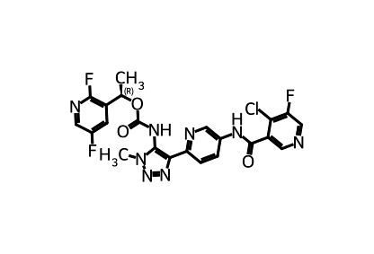 C[C@@H](OC(=O)Nc1c(-c2ccc(NC(=O)c3cncc(F)c3Cl)cn2)nnn1C)c1cc(F)cnc1F